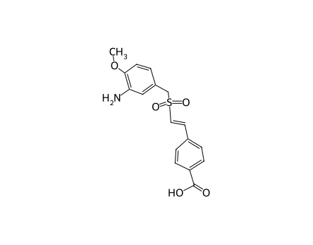 COc1ccc(CS(=O)(=O)/C=C/c2ccc(C(=O)O)cc2)cc1N